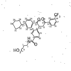 O=C(O)CCNC(=O)c1ccc(C(CC(=O)c2cccc(C(F)(F)F)c2)C(=O)c2ccc(C3CCCCC3)cc2)cc1